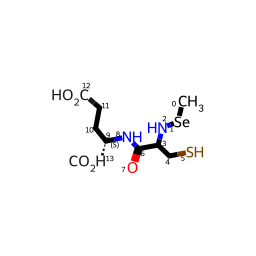 C[Se]NC(CS)C(=O)N[C@@H](CCC(=O)O)C(=O)O